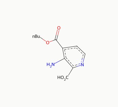 CCCCOC(=O)c1ccnc(C(=O)O)c1N